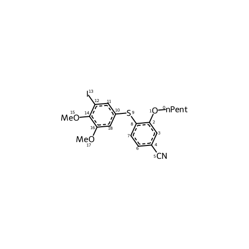 CCCCCOc1cc(C#N)ccc1Sc1cc(I)c(OC)c(OC)c1